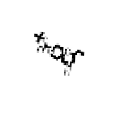 CCC1CNCC2(CCN(C(=O)OC(C)(C)C)CC2)O1